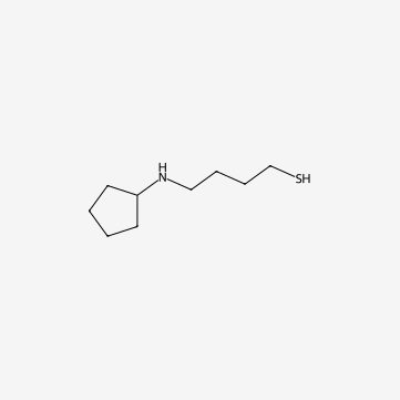 SCCCCNC1CCCC1